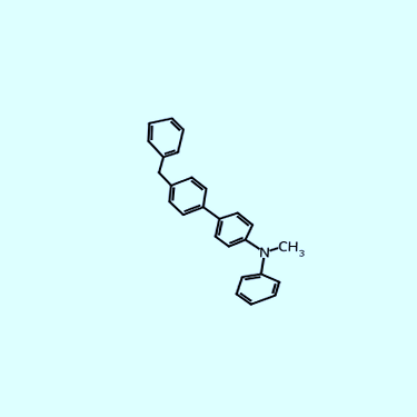 CN(c1ccccc1)c1ccc(-c2ccc(Cc3ccccc3)cc2)cc1